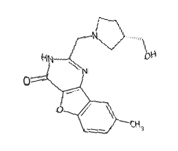 Cc1ccc2oc3c(=O)[nH]c(CN4CC[C@H](CO)C4)nc3c2c1